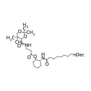 CCCCCCCCCCCCCCCCCC(=O)N[C@@H]1CCCC[C@H]1OC(=O)CCNC(=O)C1OC(C)(C)OCC1(C)C